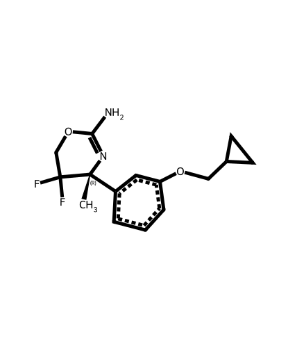 C[C@]1(c2cccc(OCC3CC3)c2)N=C(N)OCC1(F)F